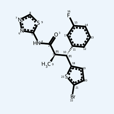 C[C@@H](C(=O)Nc1nncs1)[C@H](c1cccc(F)c1)c1ccc(Br)s1